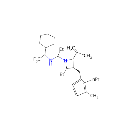 C=C(C)C1[C@@H](Cc2cccc(C)c2CCC)C(CC)N1C(CC)NC(C1CCCCC1)C(F)(F)F